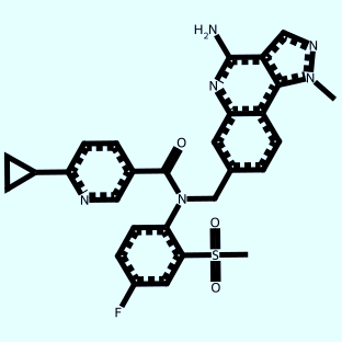 Cn1ncc2c(N)nc3cc(CN(C(=O)c4ccc(C5CC5)nc4)c4ccc(F)cc4S(C)(=O)=O)ccc3c21